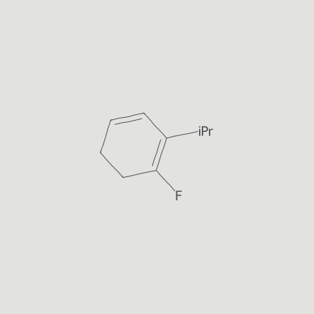 CC(C)C1=C(F)CCC=C1